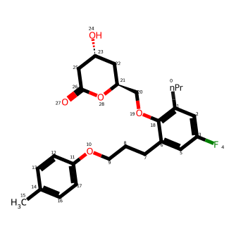 CCCc1cc(F)cc(CCCOc2ccc(C)cc2)c1OC[C@@H]1C[C@@H](O)CC(=O)O1